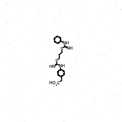 N=C(Nc1ccccc1)SCCCSC(=N)Nc1ccc(CC(=O)O)cc1